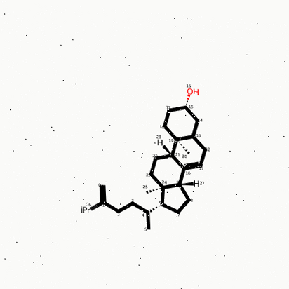 C=C(CCC(C)[C@H]1CC[C@H]2C3=CCC4C[C@@H](O)CC[C@]4(C)[C@H]3CC[C@]12C)C(C)C